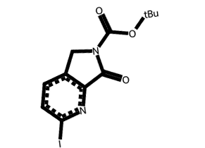 CC(C)(C)OC(=O)N1Cc2ccc(I)nc2C1=O